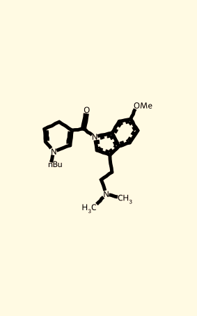 CCCCN1C=CCC(C(=O)n2cc(CCN(C)C)c3ccc(OC)cc32)=C1